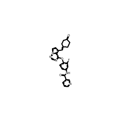 O=C1CCC(=Cc2ccn3ncnc(Oc4ccc(NC(=O)c5cccnc5)cc4F)c23)CC1